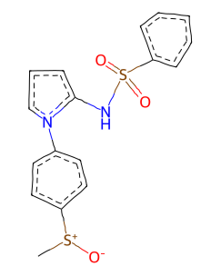 C[S+]([O-])c1ccc(-n2cccc2NS(=O)(=O)c2ccccc2)cc1